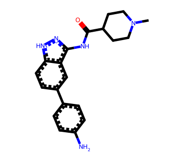 CN1CCC(C(=O)Nc2n[nH]c3ccc(-c4ccc(N)cc4)cc23)CC1